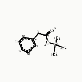 CC[Si](CC)(CC)OC(=O)Cc1ccccc1